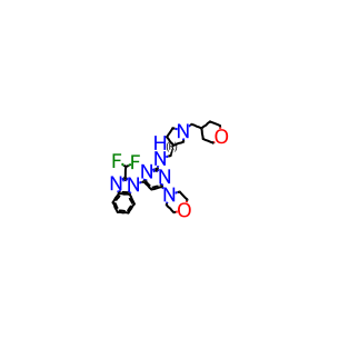 FC(F)c1nc2ccccc2n1-c1cc(N2CCOCC2)nc(NC[C@H]2CCN(CC3CCOCC3)C2)n1